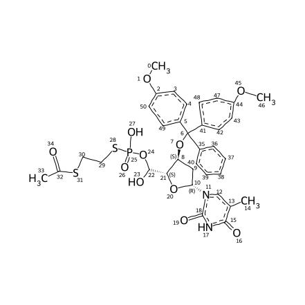 COc1ccc(C(O[C@H]2C[C@H](n3cc(C)c(=O)[nH]c3=O)O[C@@H]2C(O)OP(=O)(O)SCCSC(C)=O)(c2ccccc2)c2ccc(OC)cc2)cc1